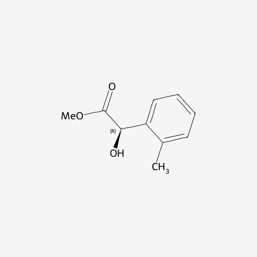 COC(=O)[C@H](O)c1ccccc1C